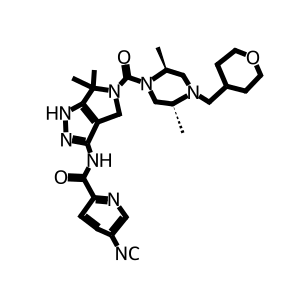 [C-]#[N+]c1ccc(C(=O)Nc2n[nH]c3c2CN(C(=O)N2C[C@@H](C)N(CC4CCOCC4)C[C@@H]2C)C3(C)C)nc1